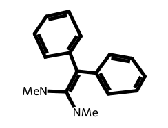 CNC(NC)=C(c1ccccc1)c1ccccc1